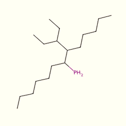 CCCCCCC(P)C(CCCCC)C(CC)CC